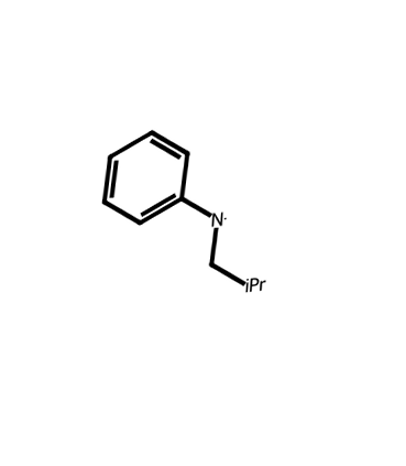 CC(C)C[N]c1ccccc1